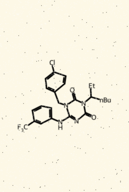 CCCCC(CC)n1c(=O)nc(Nc2cccc(C(F)(F)F)c2)n(Cc2ccc(Cl)cc2)c1=O